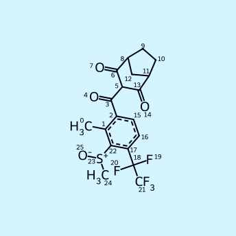 Cc1c(C(=O)C2C(=O)C3CCC(C3)C2=O)ccc(C(F)(F)C(F)(F)F)c1[S+](C)[O-]